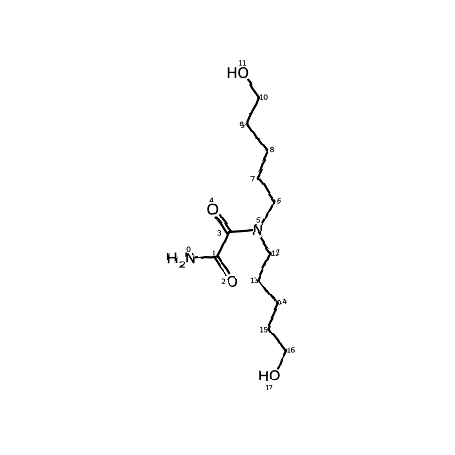 NC(=O)C(=O)N(CCCCCO)CCCCCO